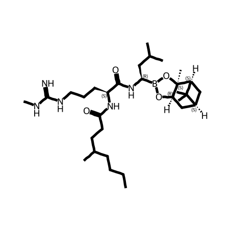 CCCCC(C)CCC(=O)N[C@@H](CCCNC(=N)NC)C(=O)N[C@@H](CC(C)C)B1O[C@@H]2C[C@@H]3C[C@@H](C3(C)C)[C@]2(C)O1